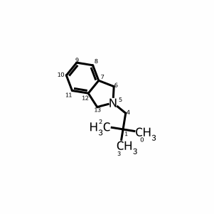 CC(C)(C)CN1Cc2ccccc2C1